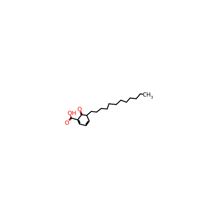 CCCCCCCCCCCCC1C=CC=C(C(=O)O)C1=O